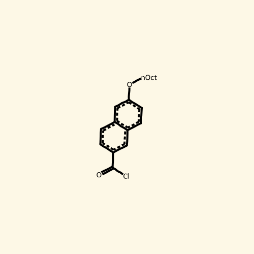 CCCCCCCCOc1ccc2cc(C(=O)Cl)ccc2c1